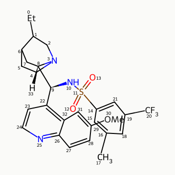 CCC1CN2CCC1C[C@H]2[C@@H](NS(=O)(=O)c1cc(C)cc(C(F)(F)F)c1)c1ccnc2ccc(OC)cc12